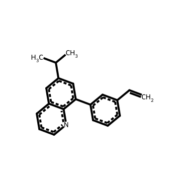 C=Cc1cccc(-c2cc(C(C)C)cc3cccnc23)c1